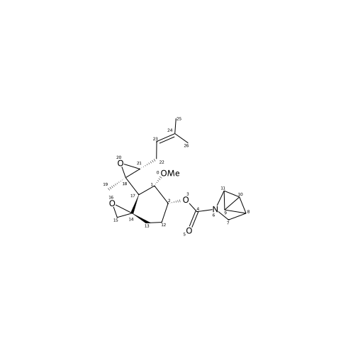 CO[C@@H]1[C@H](OC(=O)N2CC3C4C3C42)CC[C@]2(CO2)[C@H]1[C@@]1(C)O[C@@H]1CC=C(C)C